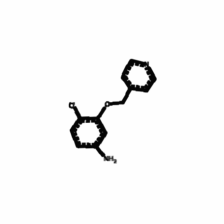 Nc1ccc(Cl)c(OCc2ccncc2)c1